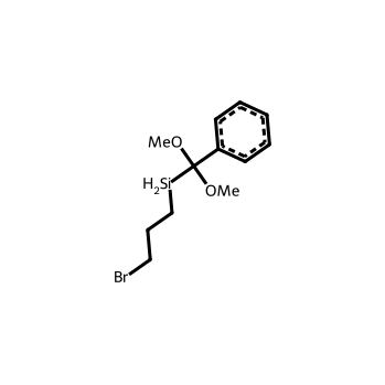 COC(OC)([SiH2]CCCBr)c1ccccc1